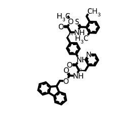 CCc1cccc(C)c1C(=S)N[C@@H](Cc1ccc(NC(=O)[C@@H](Cc2cccnc2)NC(=O)OCC2c3ccccc3-c3ccccc32)cc1)C(=O)OC